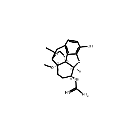 CO[C@@]12CC[C@H](NC(=N)N)[C@@H]3Oc4c(O)ccc5c4[C@@]31CCN(C)C2C5